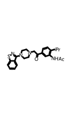 CC(=O)Nc1cc(C(=O)CN2CCN(c3nsc4ccccc34)CC2)ccc1C(C)C